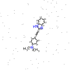 CN(C)c1ccc(C#Cc2nc3ccccc3[nH]2)cc1